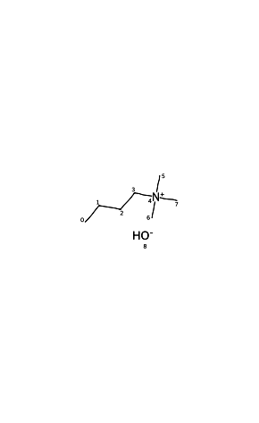 CCCC[N+](C)(C)C.[OH-]